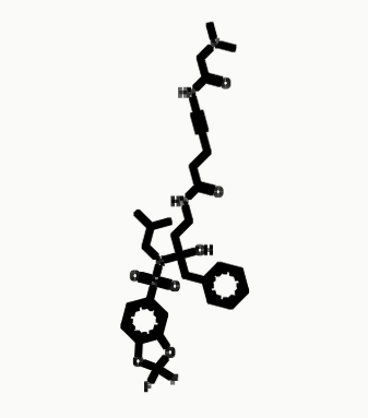 CC(C)CN(C(O)(CCNC(=O)CCC#CNC(=O)CN(C)C)Cc1ccccc1)S(=O)(=O)c1ccc2c(c1)OC(F)(F)O2